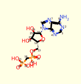 Nc1ncnc2c1ncn2[C@@H]1O[C@H](COP(=O)(O)CP(=O)(O)O)C(O)C1O